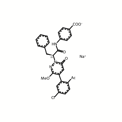 COc1nn([C@@H](Cc2ccccc2)C(=O)Nc2ccc(C(=O)[O-])cc2)c(=O)cc1-c1cc(Cl)ccc1C(C)=O.[Na+]